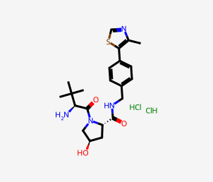 Cc1ncsc1-c1ccc(CNC(=O)[C@@H]2C[C@@H](O)CN2C(=O)[C@@H](N)C(C)(C)C)cc1.Cl.Cl